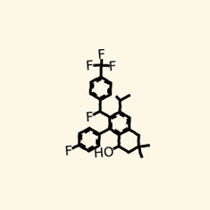 CC(C)c1cc2c(c(-c3ccc(F)cc3)c1C(F)c1ccc(C(F)(F)F)cc1)C(O)CC(C)(C)C2